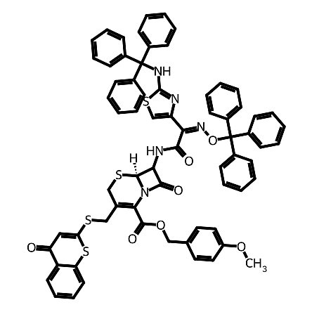 COc1ccc(COC(=O)C2=C(CSc3cc(=O)c4ccccc4s3)CS[C@H]3C(NC(=O)/C(=N\OC(c4ccccc4)(c4ccccc4)c4ccccc4)c4csc(NC(c5ccccc5)(c5ccccc5)c5ccccc5)n4)C(=O)N23)cc1